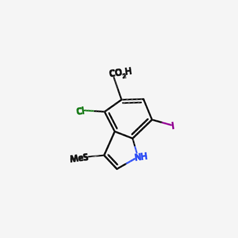 CSc1c[nH]c2c(I)cc(C(=O)O)c(Cl)c12